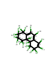 FC1=C(F)C(F)(F)C(F)(F)C2(F)C1=C(F)C(F)=C1C(F)(F)C(F)(F)C(F)(F)C(F)(F)C12F